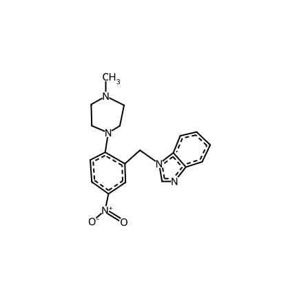 CN1CCN(c2ccc([N+](=O)[O-])cc2Cn2cnc3ccccc32)CC1